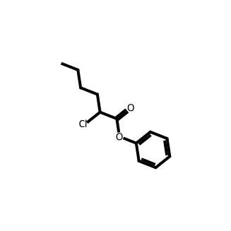 CCCCC(Cl)C(=O)Oc1ccccc1